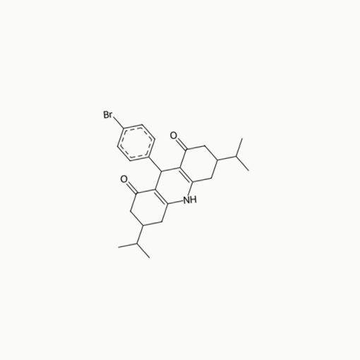 CC(C)C1CC(=O)C2=C(C1)NC1=C(C(=O)CC(C(C)C)C1)C2c1ccc(Br)cc1